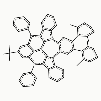 Cc1cccc(C)c1-c1cc2c(cc1-c1c(C)cccc1C)n1c3ccccc3c3c1n1c4c(cc(C(C)(C)C)cc4n3-c3ccccc3)n(-c3ccccc3)c3c4ccccc4n2c31